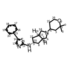 CC1(C)CC(N2C[C@H]3C[C@H](Nc4ncc(-c5ccccc5)s4)C[C@H]3C2)CCO1